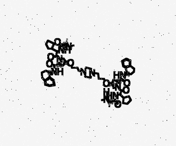 CN[C@@H](C)C(=O)NC(C(=O)N1C[C@@H](OCCCN2CCN(CCCO[C@H]3C[C@@H](C(=O)N[C@@H]4CCCc5ccccc54)N(C(=O)C(NC(=O)[C@H](C)NC)C4CCCC4)C3)CC2)C[C@H]1C(=O)N[C@@H]1CCCc2ccccc21)C1CCCC1